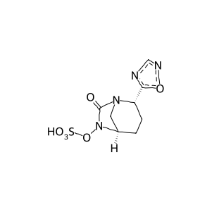 O=C1N2C[C@@H](CC[C@H]2c2ncno2)N1OS(=O)(=O)O